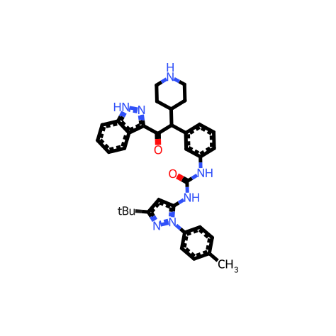 Cc1ccc(-n2nc(C(C)(C)C)cc2NC(=O)Nc2cccc(C(C(=O)c3n[nH]c4ccccc34)C3CCNCC3)c2)cc1